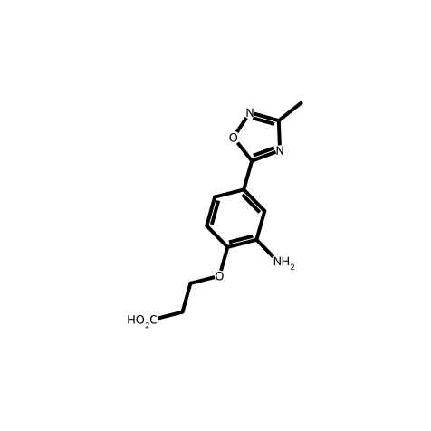 Cc1noc(-c2ccc(OCCC(=O)O)c(N)c2)n1